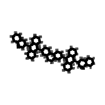 c1ccc2ncc(-c3c4ccccc4c(-c4ccc5c(ccc6cc(-c7c8ccccc8c(-c8cnc9ccccc9c8)c8ccccc78)ccc65)c4)c4ccccc34)cc2c1